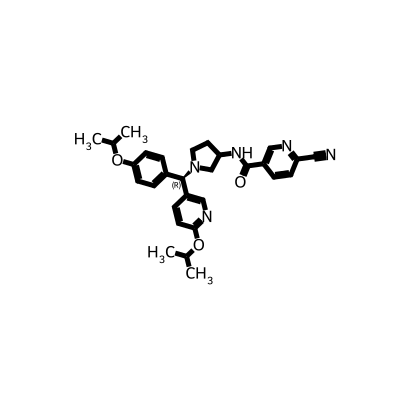 CC(C)Oc1ccc([C@H](c2ccc(OC(C)C)nc2)N2CCC(NC(=O)c3ccc(C#N)nc3)C2)cc1